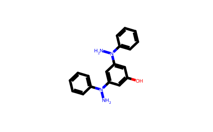 NN(c1[c]c(O)cc(N(N)c2ccccc2)c1)c1ccccc1